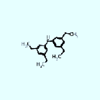 CCc1cc(CC)cc(Pc2cc(CC)cc(CC)c2)c1